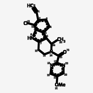 C#Cc1ccc2c3c([nH]c2c1Cl)CCN(C(=O)c1ncc(OC)cn1)C3C